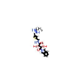 CNNCc1csc(CNC(=O)[C@H](O)[C@@H](O)C(=O)N2Cc3ccccc3C2)c1